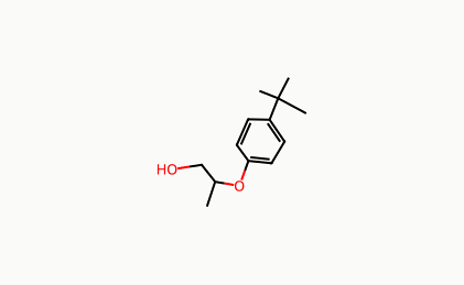 CC(CO)Oc1ccc(C(C)(C)C)cc1